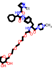 CCn1nccc1C(=O)NC(C(=O)Nc1ccc(CC(NC(=O)COCCOCCOCCOCC2OCCC(O)C2O)C(=O)N2CCN(C)CC2)cc1)C1CCCCCC1